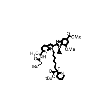 COC(=O)c1cc(OC)c2c(c1)nc(-c1cc3ccc([C@@H](C)NC(=O)OC(C)(C)C)nc3n1CCCCCCC(F)(C(=O)OC(C)(C)C)c1ccccn1)n2C1CC1